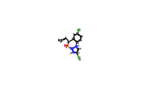 C=CC(O)c1cc(Cl)ccc1-n1cc(Cl)nn1